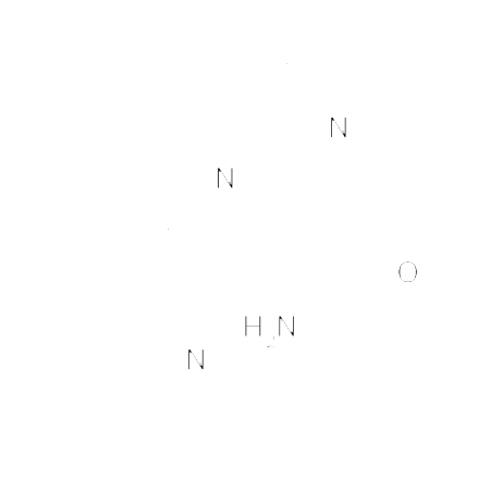 CN(C)CC1(n2c[c]nc2C(N)=O)CCC1